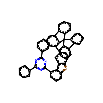 c1ccc(-c2nc(-c3ccccc3)nc(-c3cccc4sc5ccc(-c6cccc7c6C6(c8ccccc8-c8ccccc86)c6ccccc6-7)cc5c34)n2)cc1